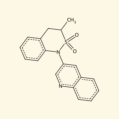 CC1Cc2ccccc2N(c2cnc3ccccc3c2)S1(=O)=O